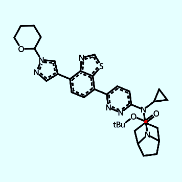 CC(C)(C)OC(=O)N1C2CCC1CC(N(c1ccc(-c3ccc(-c4cnn(C5CCCCO5)c4)c4ncsc34)nn1)C1CC1)C2